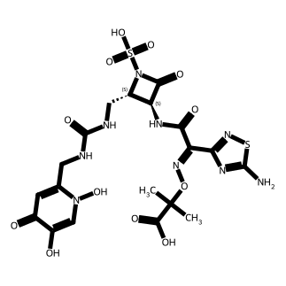 CC(C)(ON=C(C(=O)N[C@@H]1C(=O)N(S(=O)(=O)O)[C@H]1CNC(=O)NCc1cc(=O)c(O)cn1O)c1nsc(N)n1)C(=O)O